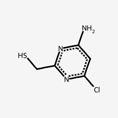 Nc1cc(Cl)nc(CS)n1